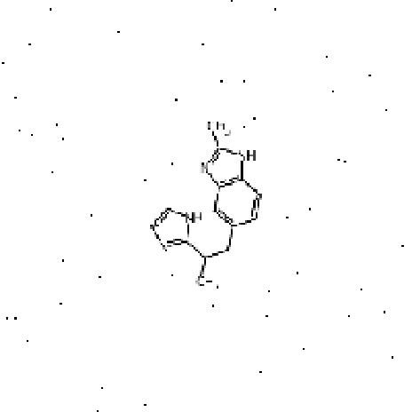 Cc1nc2cc(CC(C)c3ncc[nH]3)ccc2[nH]1